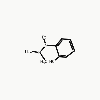 CCN(c1ccccc1C#N)N(C)C